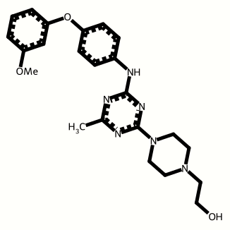 COc1cccc(Oc2ccc(Nc3nc(C)nc(N4CCN(CCO)CC4)n3)cc2)c1